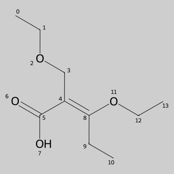 CCOCC(C(=O)O)=C(CC)OCC